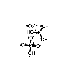 O=P([O-])([O-])O.OB(O)O.[Co+2]